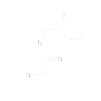 Cc1nc(CN(C)C)nc(C)c1F